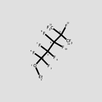 CCOC(F)(F)C(F)(F)C(F)(F)C(F)(C(F)(F)F)C(F)(F)F